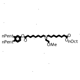 CCCCCCCCOC(=O)CCCCCCCN(CCCCCCCC(=O)Oc1ccc(CCCCC)c(CCCCC)c1)CCOC